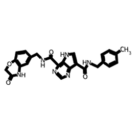 Cc1ccc(CNC(=O)c2c[nH]c3c(C(=O)NCc4ccc5c(c4)NC(=O)CO5)ncnc23)cc1